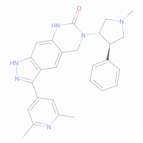 Cc1cc(-c2n[nH]c3cc4c(cc23)CN([C@@H]2CN(C)C[C@H]2c2ccccc2)C(=O)N4)cc(C)n1